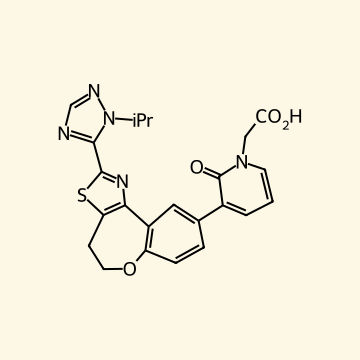 CC(C)n1ncnc1-c1nc2c(s1)CCOc1ccc(-c3cccn(CC(=O)O)c3=O)cc1-2